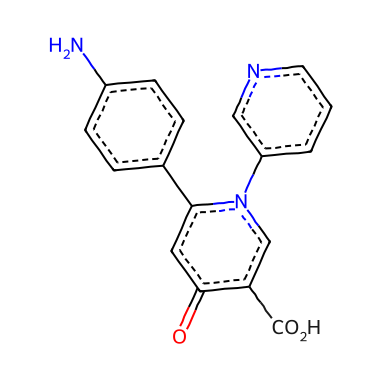 Nc1ccc(-c2cc(=O)c(C(=O)O)cn2-c2cccnc2)cc1